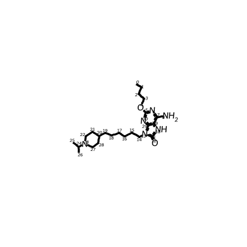 CCCCOc1nc(N)c2[nH]c(=O)n(CCCCCCC3CCN(C(C)C)CC3)c2n1